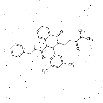 CN(C)C(=O)CCN1C(=O)c2ccccc2C(C(=O)NCc2ccccc2)C1c1cc(C(F)(F)F)cc(C(F)(F)F)c1